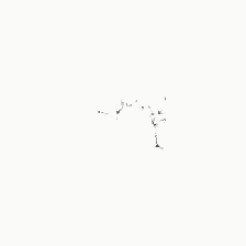 C#CCOC(=O)NCCCCC(NC(=O)OCC#C)C(=O)O